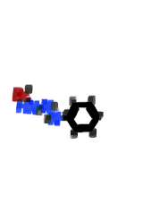 BrN/N=N/c1ccccc1